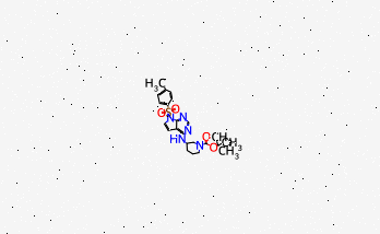 Cc1ccc(S(=O)(=O)n2ccc3c(N[C@H]4CCCN(C(=O)OC(C)(C)C)C4)ncnc32)cc1